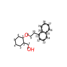 OCC1CCCCC1OCCc1cccc2ccccc12